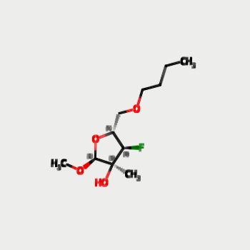 CCCCOC[C@H]1O[C@H](OC)[C@](C)(O)[C@@H]1F